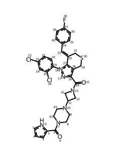 O=C(c1ccc[nH]1)N1CCN(C2CN(C(=O)c3nn(-c4ccc(Cl)cc4Cl)c4c3CSC/C4=C\c3ccc(F)cc3)C2)CC1